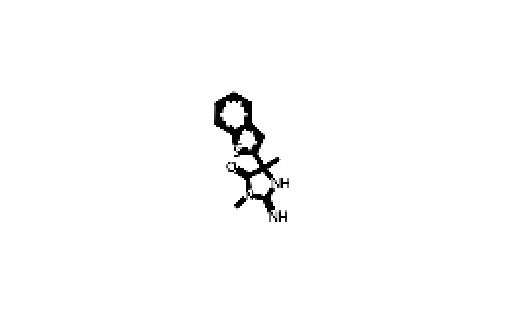 CN1C(=N)NC(C)(c2cc3ccccc3s2)C1=O